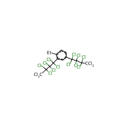 C[CH]c1ccc(C(Cl)(Cl)C(Cl)(Cl)C(Cl)(Cl)C(Cl)(Cl)Cl)cc1C(Cl)(Cl)C(Cl)(Cl)C(Cl)(Cl)C(Cl)(Cl)Cl